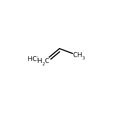 C=CC.[CH]